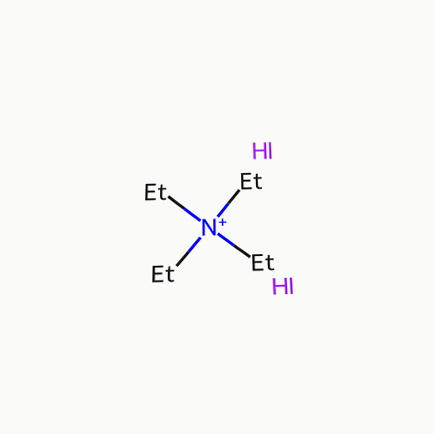 CC[N+](CC)(CC)CC.I.I